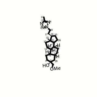 COC[C@@]1(O)CC[C@H]2[C@H](CC[C@@H]3[C@@H]2CC[C@]2(C)[C@@H](CCn4nnc(C)n4)CC[C@@H]32)C1